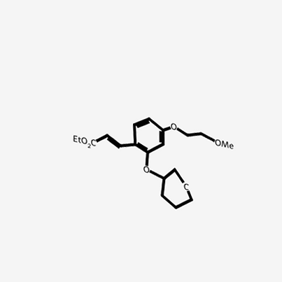 CCOC(=O)/C=C/c1ccc(OCCOC)cc1OC1CCCCC1